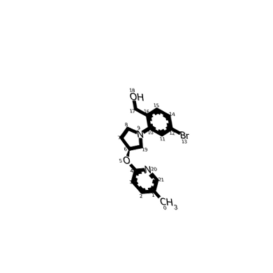 Cc1ccc(O[C@H]2CCN(c3cc(Br)ccc3CO)C2)nc1